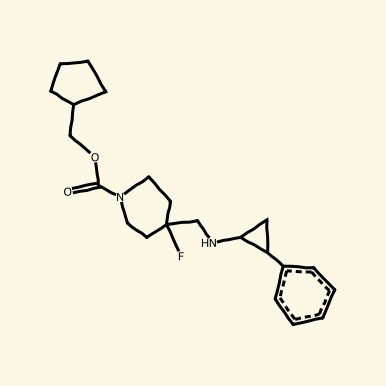 O=C(OCC1CCCC1)N1CCC(F)(CNC2CC2c2ccccc2)CC1